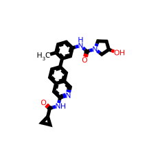 Cc1ccc(NC(=O)N2CCC(O)C2)cc1-c1ccc2cc(NC(=O)C3CC3)ncc2c1